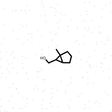 CC12CCCC1C2CO